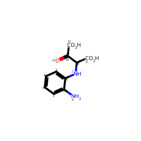 Nc1ccccc1NC(C(=O)O)C(=O)C(=O)O